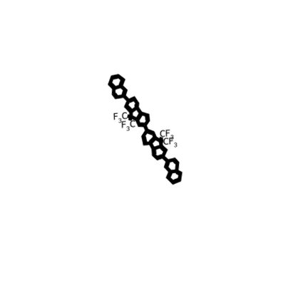 FC(F)(F)C1(C(F)(F)F)c2cc(-c3ccc4c(c3)C(C(F)(F)F)(C(F)(F)F)c3cc(-c5ccc6ccccc6c5)ccc3-4)ccc2-c2ccc(-c3ccc4ccccc4c3)cc21